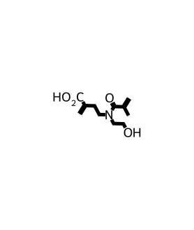 C=C(C)C(=O)N(CCO)CCC(=C)C(=O)O